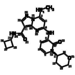 CNc1cc(Nc2cccn([C@@H]3CCCOC3)c2=O)nc2c(C(=O)NC3CCC3)cnn12